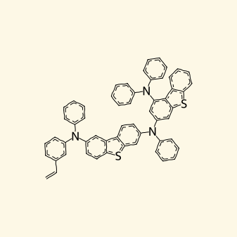 C=Cc1cccc(N(c2ccccc2)c2ccc3sc4cc(N(c5ccccc5)c5cc(N(c6ccccc6)c6ccccc6)c6c(c5)sc5ccccc56)ccc4c3c2)c1